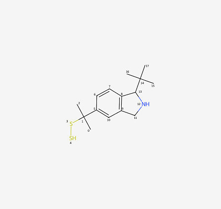 CC(C)(SS)c1ccc2c(c1)CNC2C(C)(C)C